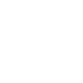 Clc1cc(Sc2ccccc2)c(Cl)c(Cl)c1Cl